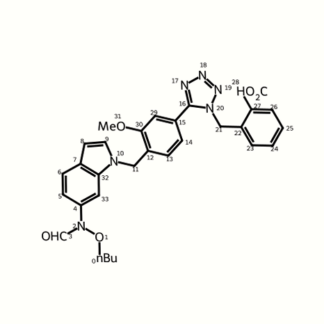 CCCCON(C=O)c1ccc2ccn(Cc3ccc(-c4nnnn4Cc4ccccc4C(=O)O)cc3OC)c2c1